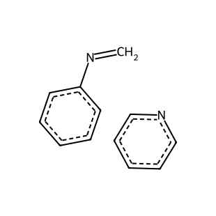 C=Nc1ccccc1.c1ccncc1